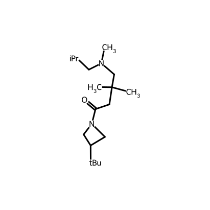 CC(C)CN(C)CC(C)(C)CC(=O)N1CC(C(C)(C)C)C1